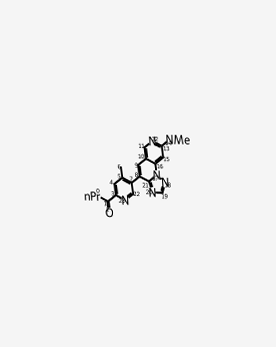 CCCC(=O)c1cc(C)c(-c2cc3cnc(NC)cc3n3ncnc23)cn1